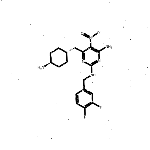 Nc1nc(NCc2ccc(F)c(F)c2)nc(C[C@H]2CC[C@H](N)CC2)c1[N+](=O)[O-]